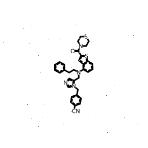 N#Cc1ccc(Cn2cncc2CN(CCc2ccccc2)c2cccc3sc(C(=O)N4CCSCC4)cc23)cc1